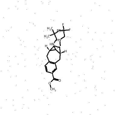 COC(=O)c1ccc2c(c1)C[C@H]1CC[C@@H](C2)[C@@]1(CNCC(F)(F)F)NCC(C)(C)C